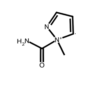 C[N+]1(C(N)=O)[C]=CC=N1